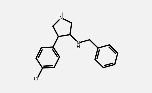 Clc1ccc(C2CNCC2NCc2ccccc2)cc1